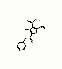 Cc1c(C(=O)Nc2ccccc2)sc(N)c1C(N)=S